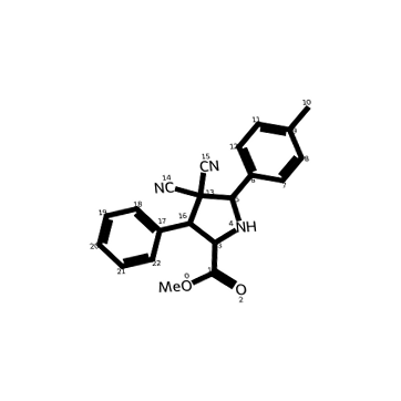 COC(=O)C1NC(c2ccc(C)cc2)C(C#N)(C#N)C1c1ccccc1